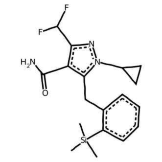 C[Si](C)(C)c1ccccc1Cc1c(C(N)=O)c(C(F)F)nn1C1CC1